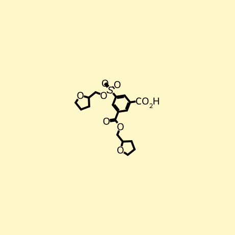 O=C(O)c1cc(C(=O)OCC2CCCO2)cc(S(=O)(=O)OCC2CCCO2)c1